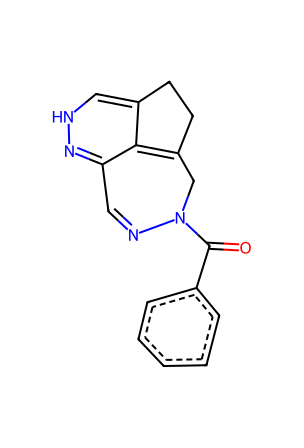 O=C(c1ccccc1)N1CC2=C3C(=CNN=C3C=N1)CC2